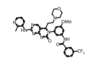 COc1cc(NC(=O)c2cccc(C(F)(F)F)c2)cc(-n2c(CCN3CCOCC3)c3cnc(Nc4cccnc4C)nc3nc2=O)c1